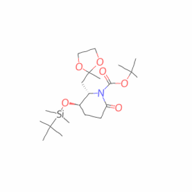 CC(C)(C)OC(=O)N1C(=O)CC[C@@H](O[Si](C)(C)C(C)(C)C)[C@@H]1CC1(C)OCCO1